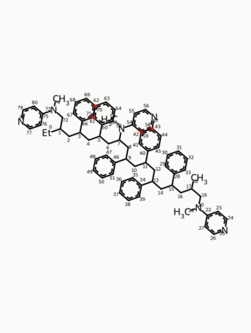 CCC(CC(CC(CC(CC(CC(CC(CC(CC(C)CN(C)c1ccncc1)c1ccccc1)c1ccccc1)c1ccccc1)c1ccccc1)N(C)c1ccncc1)c1ccccc1)c1ccccc1)CN(C)c1ccncc1